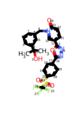 CC(C)(O)c1cccc(Cn2cc(-c3nnc(-c4ccc(S(=O)(=O)C(F)(F)F)cc4)o3)ccc2=O)c1